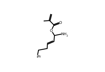 C=C(C)C(=O)OC(N)C=CCCC(C)C